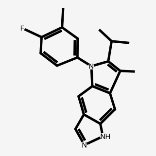 Cc1cc(-n2c(C(C)C)c(C)c3cc4[nH]ncc4cc32)ccc1F